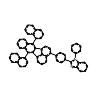 c1ccc(-n2c(-c3ccc(-c4ccc5c6c(cccc46)-c4c-5c(-c5cccc6ccccc56)c5ccccc5c4-c4cccc5ccccc45)cc3)nc3ccccc32)cc1